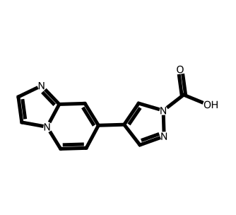 O=C(O)n1cc(-c2ccn3ccnc3c2)cn1